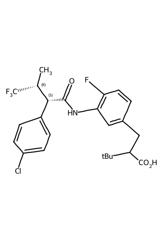 C[C@H]([C@H](C(=O)Nc1cc(CC(C(=O)O)C(C)(C)C)ccc1F)c1ccc(Cl)cc1)C(F)(F)F